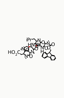 CC(C)CC(NC(=O)C(C)N(C)C(=O)OCC1c2ccccc2-c2ccccc21)C(=O)N(C)C(CC(C)C)C(=O)NC(C)C(=O)N(C)C(C(=O)N(C)C(CC(=O)O)C(=O)N(C)C)C1CCCC1